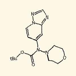 CC(C)(C)OC(=O)N(c1ccn2ncnc2c1)N1CCOCC1